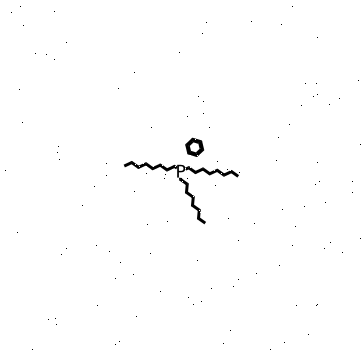 CCCCCCCCP(CCCCCCCC)CCCCCCCC.c1ccccc1